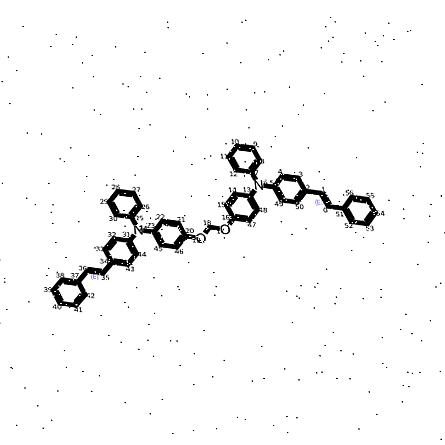 C(=C\c1ccc(N(c2ccccc2)c2ccc(OCOc3ccc(N(c4ccccc4)c4ccc(/C=C/c5ccccc5)cc4)cc3)cc2)cc1)/c1ccccc1